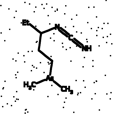 CCC(CC[As](C)C)N=C=N